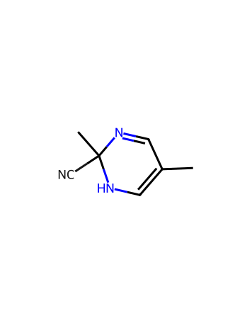 CC1=CNC(C)(C#N)N=C1